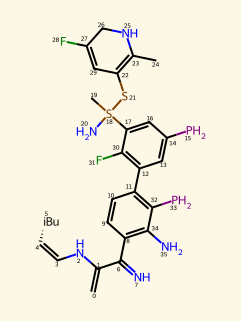 C=C(N/C=C\[C@@H](C)CC)C(=N)c1ccc(-c2cc(P)cc(S(C)(N)SC3=C(C)NCC(F)=C3)c2F)c(P)c1N